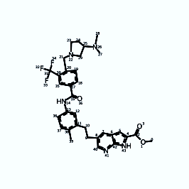 COC(=O)c1cc2cc(CCc3cc(NC(=O)c4ccc(CN5CCC(N(C)C)C5)c(C(F)(F)F)c4)ccc3C)cnc2[nH]1